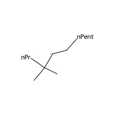 CCCCCC[CH]C(C)(C)CCC